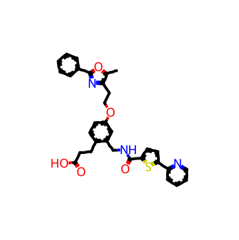 Cc1oc(-c2ccccc2)nc1CCOc1ccc(CCC(=O)O)c(CNC(=O)c2ccc(-c3ccccn3)s2)c1